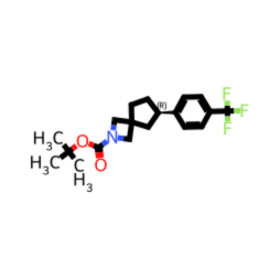 CC(C)(C)OC(=O)N1CC2(CC[C@@H](c3ccc(C(F)(F)F)cc3)C2)C1